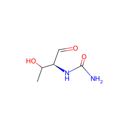 CC(O)[C@@H](C=O)NC(N)=O